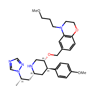 COCCCN1CCOc2ccc(CO[C@H]3CN[C@@H](C[C@H](C)n4cncn4)C[C@@H]3c3ccc(OC)cc3)cc21